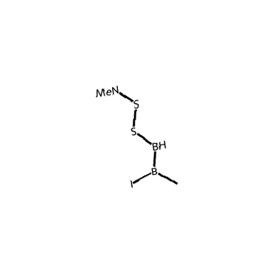 CNSSBB(C)I